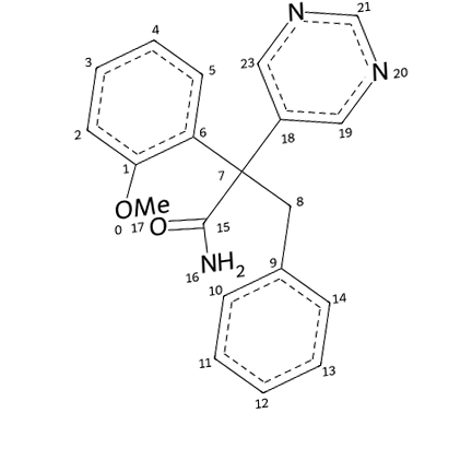 COc1ccccc1C(Cc1ccccc1)(C(N)=O)c1cncnc1